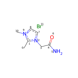 Cc1n(CC(N)=O)cc[n+]1C.[Br-]